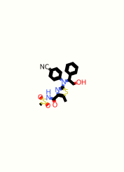 Cc1sc(N(c2ccc(C#N)cc2)C(CO)c2ccccc2)nc1C(=O)NS(C)(=O)=O